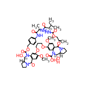 C=CCOC(=O)N[C@H](C(=O)N[C@@H](C)C(=O)Nc1ccc(COC(=O)N2c3cc(OCCCOc4cc5c(cc4OC)C(=O)N4CCC[C@H]4[C@H](O)N5C(=O)O)c(OC)cc3C(=O)N3CCC[C@H]3[C@@H]2O)cc1)C(C)C